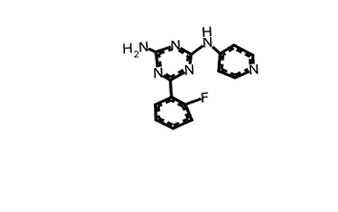 Nc1nc(Nc2ccncc2)nc(-c2ccccc2F)n1